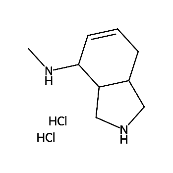 CNC1C=CCC2CNCC21.Cl.Cl